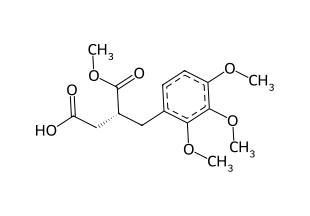 COC(=O)[C@@H](CC(=O)O)Cc1ccc(OC)c(OC)c1OC